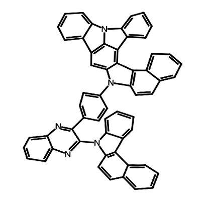 c1ccc2c(c1)ccc1c2c2ccccc2n1-c1nc2ccccc2nc1-c1ccc(-n2c3ccc4ccccc4c3c3c4c5ccccc5n5c6ccccc6c(cc32)c45)cc1